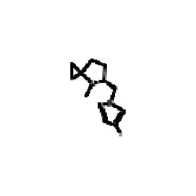 CN1[C@H](Cn2cc(I)cn2)CCC12CC2